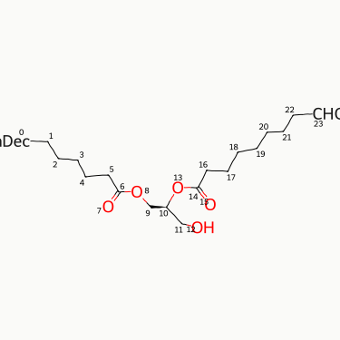 CCCCCCCCCCCCCCCC(=O)OC[C@H](CO)OC(=O)CCCCCCCC=O